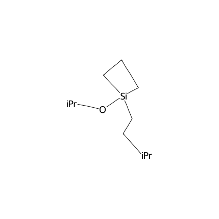 CC(C)CC[Si]1(OC(C)C)CCC1